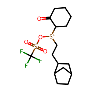 O=C1CCCCC1[S+](CCC1CC2CCC1C2)OS(=O)(=O)C(F)(F)F